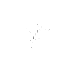 COc1ncc(-c2nc(N3CCOCC3)nc3c(CN4CC(C(C)(C)O)C4)cc(F)cc23)cc1NS(C)(=O)=O